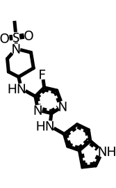 CS(=O)(=O)N1CCC(Nc2nc(Nc3ccc4[nH]ccc4c3)ncc2F)CC1